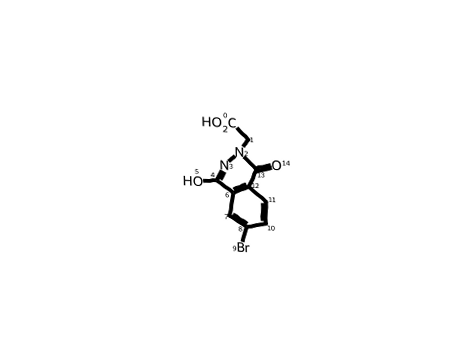 O=C(O)Cn1nc(O)c2cc(Br)ccc2c1=O